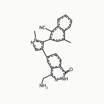 Cc1cc(-c2c(-c3ccc4c(=O)[nH]nc(CN)c4c3)cnn2C)c(C#N)c2ccccc12